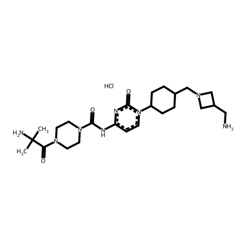 CC(C)(N)C(=O)N1CCN(C(=O)Nc2ccn(C3CCC(CN4CC(CN)C4)CC3)c(=O)n2)CC1.Cl